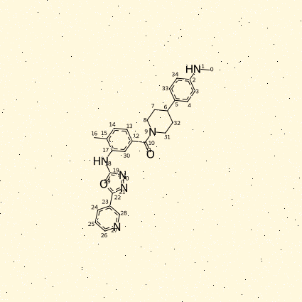 CNc1ccc(C2CCN(C(=O)c3ccc(C)c(Nc4nnc(-c5cccnc5)o4)c3)CC2)cc1